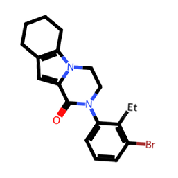 CCc1c(Br)cccc1N1CCn2c(cc3c2CCCC3)C1=O